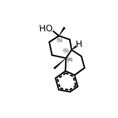 C[C@]1(O)CC[C@@]2(C)c3ccccc3CC[C@H]2C1